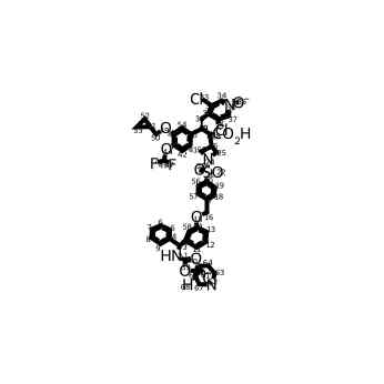 O=C(NC(c1ccccc1)c1cccc(OCc2ccc(S(=O)(=O)N3CC(C(C(=O)O)[C@H](Cc4c(Cl)c[n+]([O-])cc4Cl)c4ccc(OC(F)F)c(OCC5CC5)c4)C3)cc2)c1)O[C@H]1CN2CCC1CC2